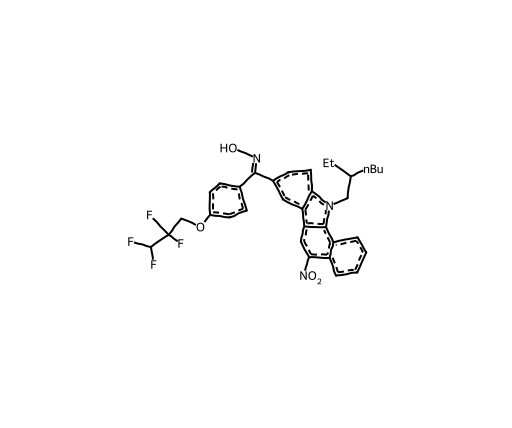 CCCCC(CC)Cn1c2ccc(/C(=N/O)c3ccc(OCC(F)(F)C(F)F)cc3)cc2c2cc([N+](=O)[O-])c3ccccc3c21